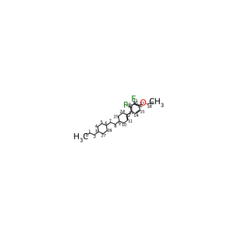 CCCC1CCC(CCC2CC=C(c3ccc(OCC)c(F)c3F)CC2)CC1